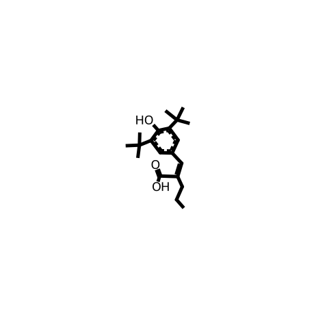 CCCC(=Cc1cc(C(C)(C)C)c(O)c(C(C)(C)C)c1)C(=O)O